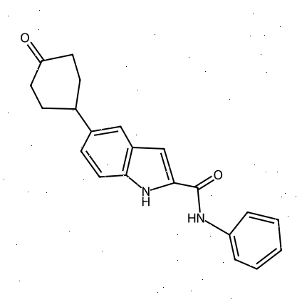 O=C1CCC(c2ccc3[nH]c(C(=O)Nc4ccccc4)cc3c2)CC1